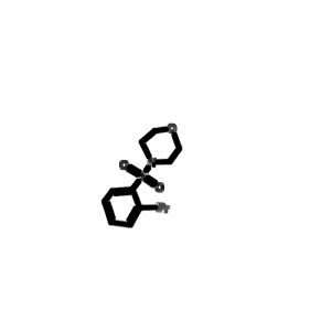 CC(C)c1ccccc1S(=O)(=O)N1CCOCC1